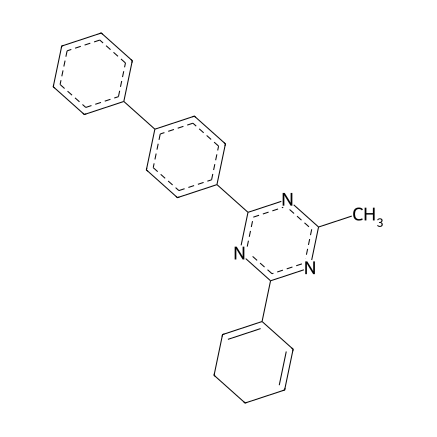 Cc1nc(C2=CCCC=C2)nc(-c2ccc(-c3ccccc3)cc2)n1